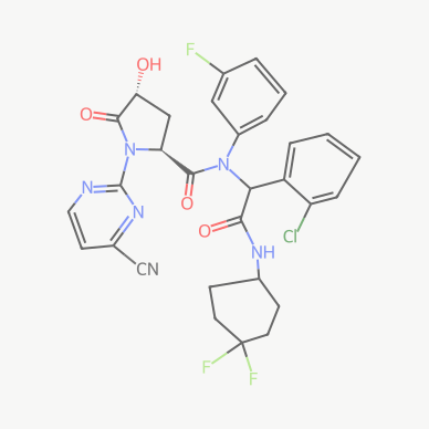 N#Cc1ccnc(N2C(=O)[C@H](O)C[C@H]2C(=O)N(c2cccc(F)c2)C(C(=O)NC2CCC(F)(F)CC2)c2ccccc2Cl)n1